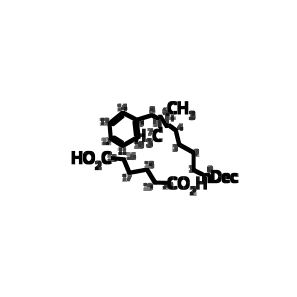 CCCCCCCCCCCCCC[N+](C)(C)Cc1ccccc1.O=C(O)CCCCC(=O)O